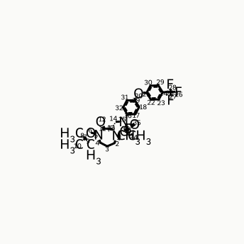 CN1CCCN(OC(C)(C)C)C(=O)[C@@H]1CN(c1ccc(Oc2ccc(C(F)(F)F)cc2)cc1)S(C)(=O)=O